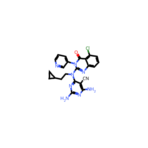 N#Cc1c(N)nc(N)nc1N(CCC1CC1)c1nc2cccc(Cl)c2c(=O)n1-c1cccnc1